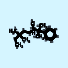 CCC(C)(C)CC[SiH](Cl)C(C)(C)c1ccccc1